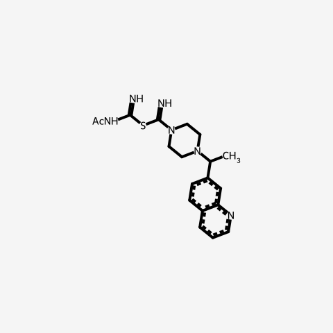 CC(=O)NC(=N)SC(=N)N1CCN(C(C)c2ccc3cccnc3c2)CC1